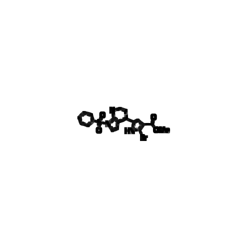 COC(=O)c1cc(-c2ccnc3c2ccn3S(=O)(=O)c2ccccc2)[nH]c1Br